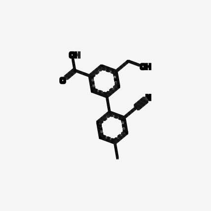 Cc1ccc(-c2cc(CO)cc(C(=O)O)c2)c(C#N)c1